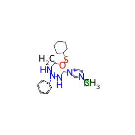 C=C(NN(NC[n+]1ccn(C)c1)c1ccccc1)OSC1CCCCC1.[Br-]